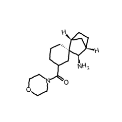 N[C@@H]1[C@H]2CC[C@H](C2)[C@@]12CCCC(C(=O)N1CCOCC1)C2